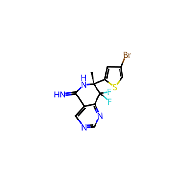 C[C@]1(c2cc(Br)cs2)NC(=N)c2cncnc2C1(F)F